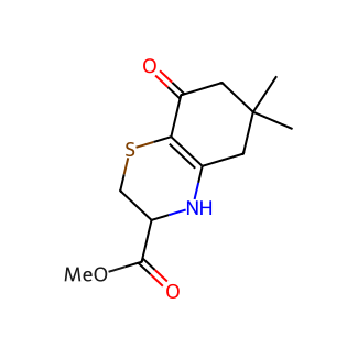 COC(=O)C1CSC2=C(CC(C)(C)CC2=O)N1